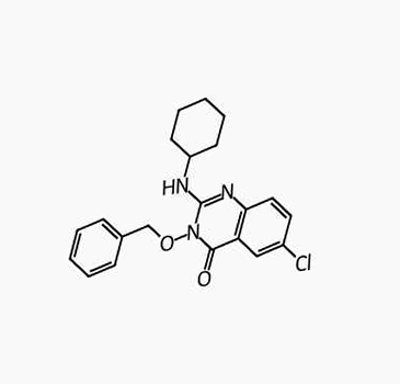 O=c1c2cc(Cl)ccc2nc(NC2CCCCC2)n1OCc1ccccc1